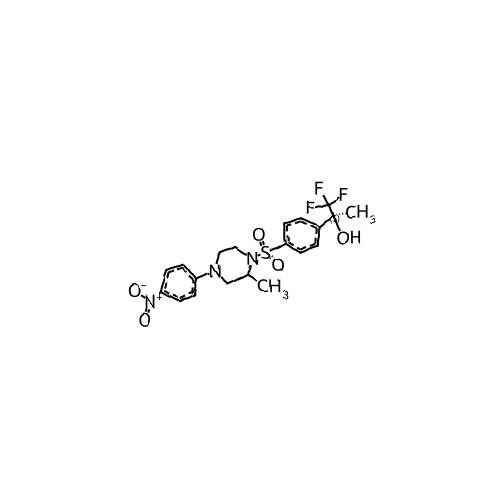 CC1CN(c2ccc([N+](=O)[O-])cc2)CCN1S(=O)(=O)c1ccc([C@](C)(O)C(F)(F)F)cc1